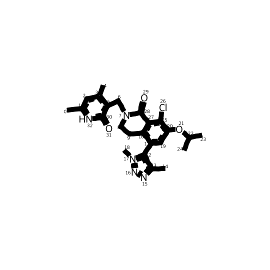 Cc1cc(C)c(CN2CCc3c(-c4c(C)nnn4C)cc(OC(C)C)c(Cl)c3C2=O)c(=O)[nH]1